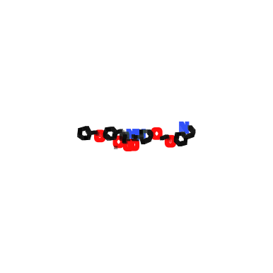 COC(=O)[C@H](Cc1ccc(OCc2ccccc2)cc1)NC(=O)c1ccc(OCCOc2ccc3cccnc3c2)cc1